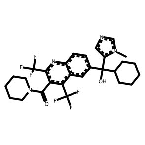 Cn1cncc1C(O)(c1ccc2nc(C(F)(F)F)c(C(=O)N3CCCCC3)c(C(F)(F)F)c2c1)C1CCCCC1